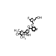 CC1=N/C(=C2\CN(C(=O)c3ccc(F)cc3OCC3CC(F)CN3CCO)CC2=N)NC(C)=C1Cl